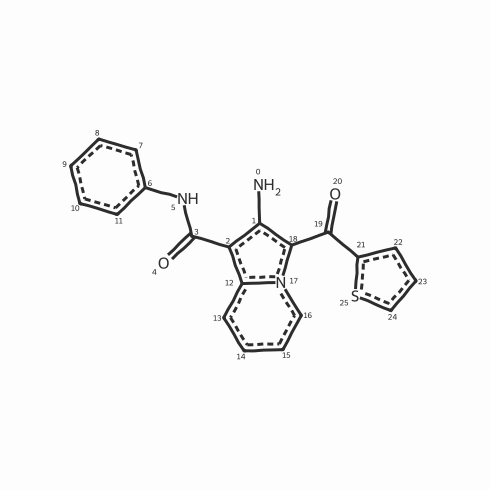 Nc1c(C(=O)Nc2ccccc2)c2ccccn2c1C(=O)c1cccs1